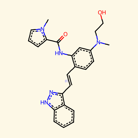 CN(CCO)c1ccc(/C=C/c2n[nH]c3ccccc23)c(NC(=O)c2cccn2C)c1